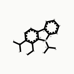 CCc1c(C(C)C)ccc2c1B(C(C)C)c1ccccc1-2